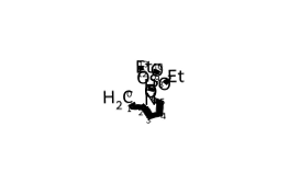 C=Cc1ccc[nH]1.CCOS(=O)(=O)OCC